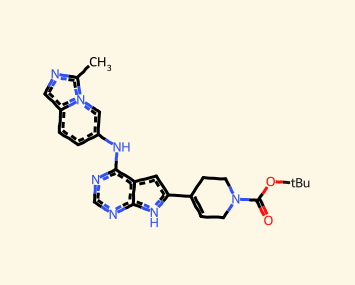 Cc1ncc2ccc(Nc3ncnc4[nH]c(C5=CCN(C(=O)OC(C)(C)C)CC5)cc34)cn12